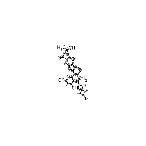 Cc1cc(Cl)nc(-c2ccnc3cc(CN4C(=O)C5C(C4=O)C5(C)C)sc23)c1N(C)C1CC2(C1)CN(I)C2